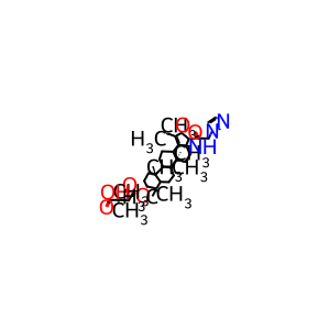 CC(C)C1=C2C3CCC4[C@@]5(C)CC[C@H](OC(=O)CC(C)(C)C(=O)O)C(C)(C)C5CC[C@@]4(C)[C@]3(C)CC[C@@]2(NC(=O)Cn2ccnc2)CC1=O